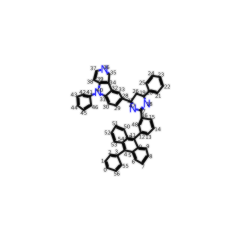 c1ccc(-c2c3ccccc3c(-c3cccc(C4=NC(c5ccccc5)CC(c5ccc6c(c5)c5cnccc5n6-c5ccccc5)=N4)c3)c3ccccc23)cc1